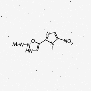 CNN1NC=C(c2ncc([N+](=O)[O-])n2C)O1